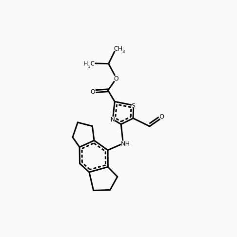 CC(C)OC(=O)c1nc(Nc2c3c(cc4c2CCC4)CCC3)c(C=O)s1